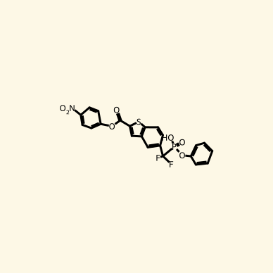 O=C(Oc1ccc([N+](=O)[O-])cc1)c1cc2cc(C(F)(F)P(=O)(O)Oc3ccccc3)ccc2s1